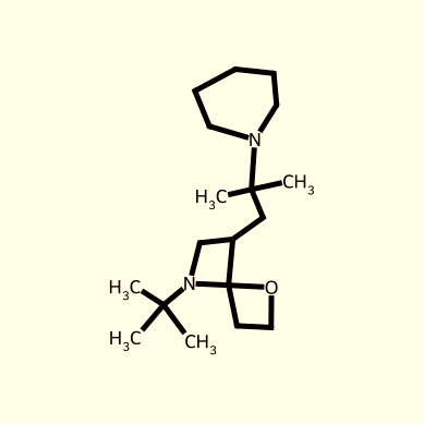 CC(C)(C)N1CC(CC(C)(C)N2CCCCC2)C12CCO2